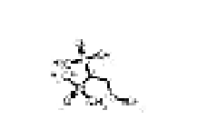 COCC(P(C)(C)=O)P(C)(C)=O